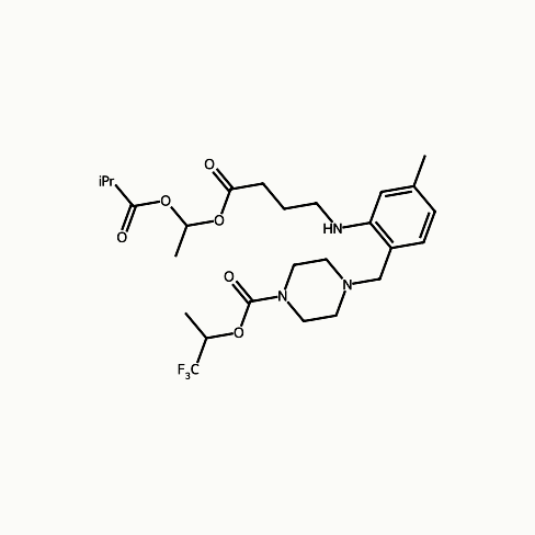 Cc1ccc(CN2CCN(C(=O)OC(C)C(F)(F)F)CC2)c(NCCCC(=O)OC(C)OC(=O)C(C)C)c1